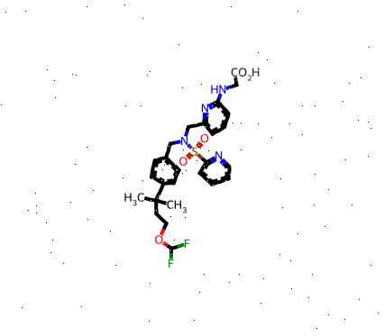 CC(C)(CCOC(F)F)c1ccc(CN(Cc2cccc(NCC(=O)O)n2)S(=O)(=O)c2ccccn2)cc1